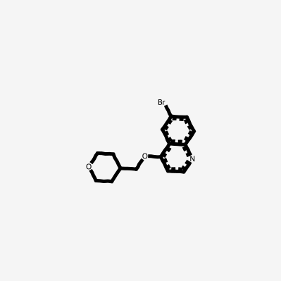 Brc1ccc2nccc(OCC3CCOCC3)c2c1